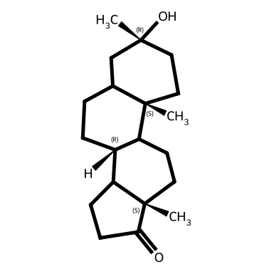 C[C@@]1(O)CC[C@@]2(C)C(CC[C@@H]3C2CC[C@]2(C)C(=O)CCC32)C1